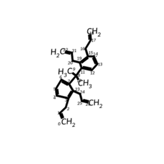 C=CCc1[c]ccc(C(C)(C)c2cc[c]c(CC=C)c2CC=C)c1CC=C